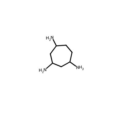 NC1CCC(N)CC(N)C1